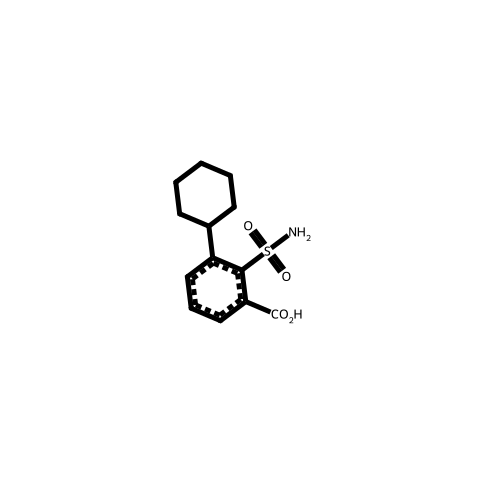 NS(=O)(=O)c1c(C(=O)O)cccc1C1CCCCC1